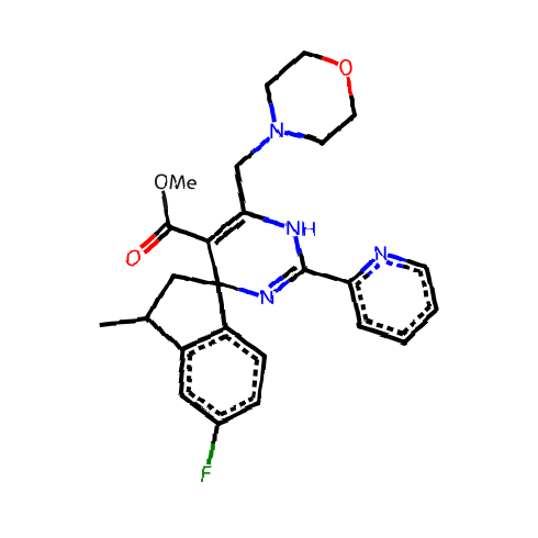 COC(=O)C1=C(CN2CCOCC2)NC(c2ccccn2)=NC12CC(C)c1cc(F)ccc12